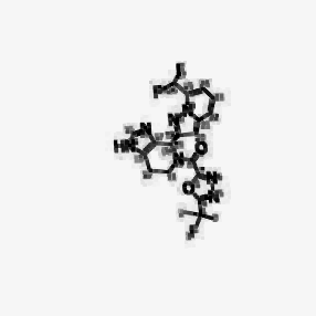 CC(C)(F)c1nnc(C(=O)N2CCc3[nH]cnc3[C@H]2c2cc3cccc(C(F)F)n3n2)o1